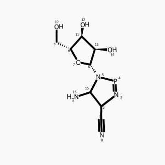 N#CC1N=PN([C@@H]2O[C@H](CO)[C@@H](O)[C@H]2O)C1N